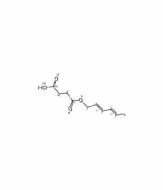 C/C=C/C=C/COC(=O)CCC(=O)O